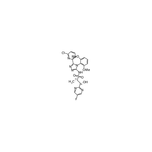 COc1cccc(OC)c1-n1c(NS(=O)(=O)[C@@H](C)[C@H](O)c2ncc(F)cn2)nnc1-c1cccc(Cl)n1